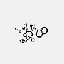 CC(C)CC(/C=C\c1ccccc1)[C@H](C(=O)OC(C)(C)C)[C@@H](CC(C)C)C(=O)NN